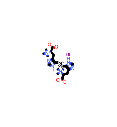 C[N+](C)(C)C(Cc1nc[nH]c1[Se][Se]c1[nH]cnc1CC(C(=O)[O-])[N+](C)(C)C)C(=O)[O-].I